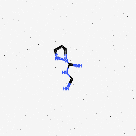 N=CNC(=N)n1cccn1